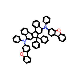 c1ccc(N(c2ccc3c(c2)oc2ccccc23)c2cc3c(c4ccccc24)-c2c(cc(N(c4ccccc4)c4ccc5c(c4)oc4ccccc45)c4ccccc24)C3(c2ccccc2)c2ccccc2)cc1